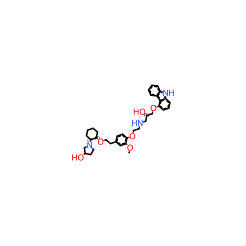 COc1cc(CCO[C@@H]2CCCC[C@@H]2N2CCC(O)C2)ccc1OCCNC[C@H](O)COc1cccc2[nH]c3ccccc3c12